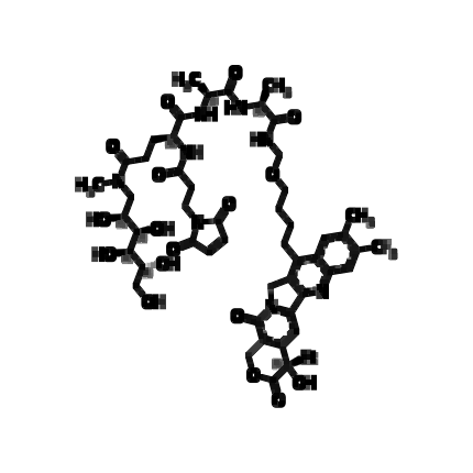 CC[C@@]1(O)C(=O)OCc2c1cc1n(c2=O)Cc2c-1nc1cc(C(F)(F)F)c(C)cc1c2CCCCOCNC(=O)[C@H](C)NC(=O)[C@H](C)NC(=O)[C@H](CCC(=O)N(C)C[C@H](O)[C@@H](O)[C@H](O)[C@H](O)CO)NC(=O)CCN1C(=O)C=CC1=O